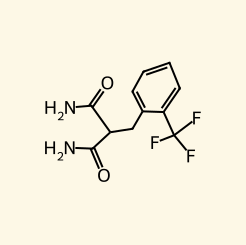 NC(=O)C(Cc1ccccc1C(F)(F)F)C(N)=O